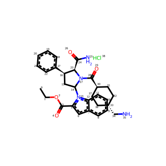 CCOC(=O)c1cc2ccccc2n1C1C[C@@H](c2ccccc2)[C@@H](C(N)=O)N1C(=O)[C@H]1CC[C@H](CN)CC1.Cl